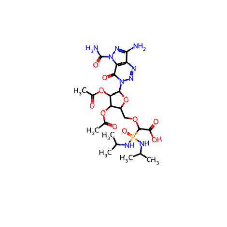 CC(=O)OC1C(COC(C(=O)O)P(=O)(NC(C)C)NC(C)C)OC(n2nnc3c(N)nn(C(N)=O)c3c2=O)C1OC(C)=O